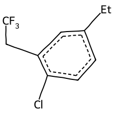 CCc1ccc(Cl)c(CC(F)(F)F)c1